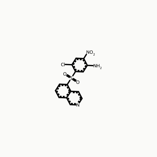 Nc1cc(S(=O)(=O)c2cccc3cnccc23)c(Cl)cc1[N+](=O)[O-]